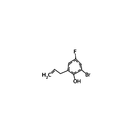 C=CCc1cc(F)cc(Br)c1O